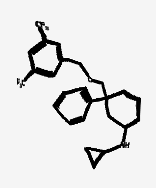 FC(F)(F)c1cc(COCC2(c3ccccc3)CCCC(NC3CC3)C2)cc(C(F)(F)F)c1